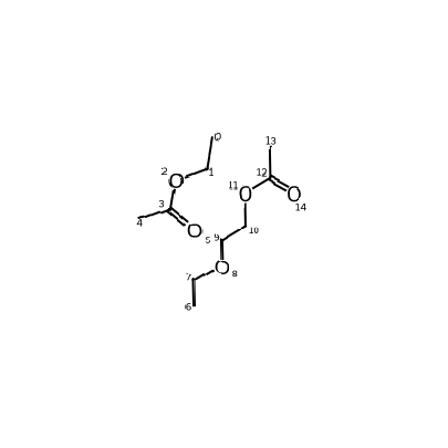 CCOC(C)=O.CCOCCOC(C)=O